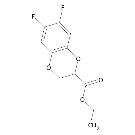 CCOC(=O)C1COc2cc(F)c(F)cc2O1